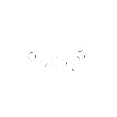 COc1ccc(C[C@H](NC(=O)CC2CCN(C(=O)CCc3ccccn3)CC2)C(=O)O)cc1